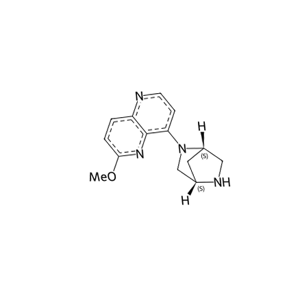 COc1ccc2nccc(N3C[C@@H]4C[C@H]3CN4)c2n1